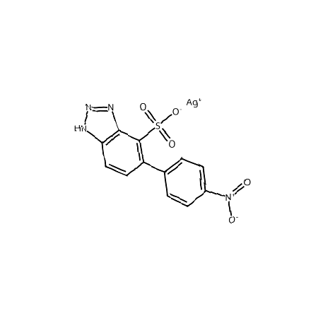 O=[N+]([O-])c1ccc(-c2ccc3[nH]nnc3c2S(=O)(=O)[O-])cc1.[Ag+]